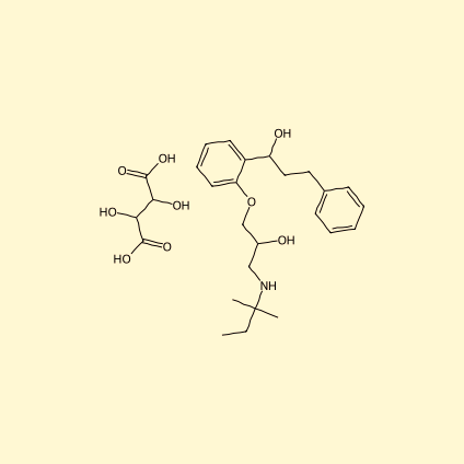 CCC(C)(C)NCC(O)COc1ccccc1C(O)CCc1ccccc1.O=C(O)C(O)C(O)C(=O)O